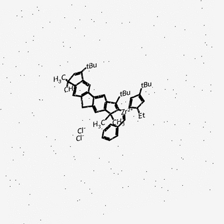 CCC1C=C(C(C)(C)C)C=[C]1[Zr+2](=[CH]c1ccccc1)[C]1=C(C(C)(C)C)c2cc3c(cc2C1(C)C)Cc1cc2c(cc1-3)C(C(C)(C)C)=CC2(C)C.[Cl-].[Cl-]